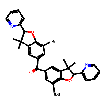 CC(C)(C)c1cc(C(=O)c2cc(C(C)(C)C)c3c(c2)C(C)(C)C(c2ccccn2)O3)cc2c1OC(c1ccccn1)C2(C)C